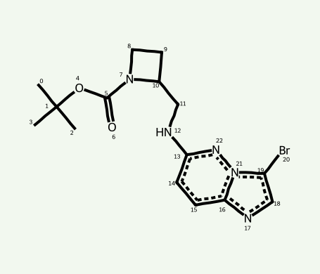 CC(C)(C)OC(=O)N1CCC1CNc1ccc2ncc(Br)n2n1